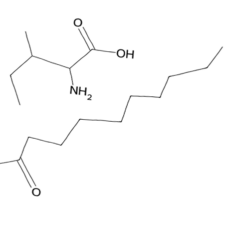 CCC(C)C(N)C(=O)O.CCCCCCCCCC(=O)O